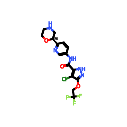 O=C(Nc1ccc([C@@H]2CNCCO2)nc1)c1[nH]nc(OCC(F)(F)F)c1Cl